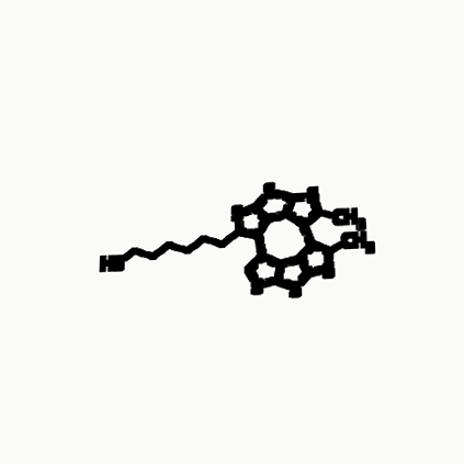 Cc1sc2sc3scc4c5c(CCCCCCS)sc6sc7sc(C)c(c1c2c34)c7c65